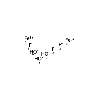 [F-].[F-].[F-].[Fe+3].[Fe+3].[OH-].[OH-].[OH-]